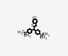 CN(C)c1ccc(C(=C2C=CC(=[N+](C)C)C=C2)c2cc3ccccc3s2)cc1.[Cl-]